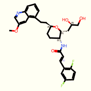 COc1cnc2cccc(CC[C@@H]3CC[C@@H](NC(=O)/C=C/c4cc(F)ccc4F)[C@@H](C[C@@H](O)CO)O3)c2c1